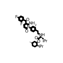 CC(C)C[C@H](NCCc1ccc(-n2c(N)c(C(=O)c3ccc(F)cc3F)ccc2=O)cc1)C(=O)O[C@H]1C[C@@H](C)CC[C@@H]1C(C)C